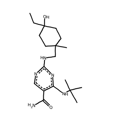 CCC1(O)CCC(C)(CNc2ncc(C(N)=O)c(NC(C)(C)C)n2)CC1